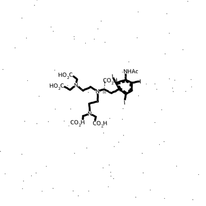 CC(=O)Nc1c(I)cc(I)c(C[C@@H](C(=O)O)N(CCN(CC(=O)O)CC(=O)O)CCN(CC(=O)O)CC(=O)O)c1I